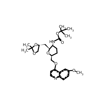 COc1ccc2nccc(OC[C@@H]3CC[C@@H](NC(=O)OC(C)(C)C)[C@H](C[C@@H]4COC(C)(C)O4)O3)c2c1